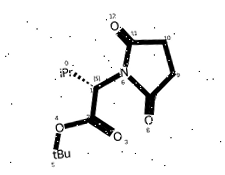 CC(C)[C@@H](C(=O)OC(C)(C)C)N1C(=O)CCC1=O